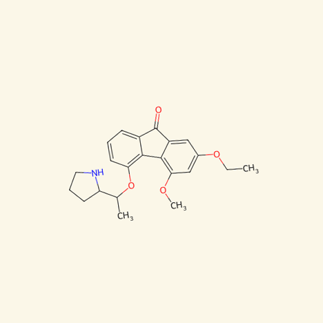 CCOc1cc(OC)c2c(c1)C(=O)c1cccc(OC(C)C3CCCN3)c1-2